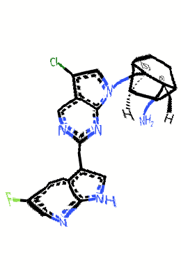 N[C@H]1C2CCC(CC2)[C@@H]1n1cc(Cl)c2cnc(-c3c[nH]c4ncc(F)cc34)nc21